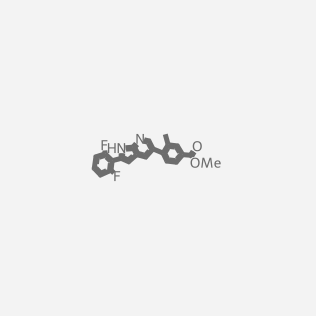 COC(=O)c1ccc(-c2cnc3[nH]c(-c4c(F)cccc4F)cc3c2)c(C)c1